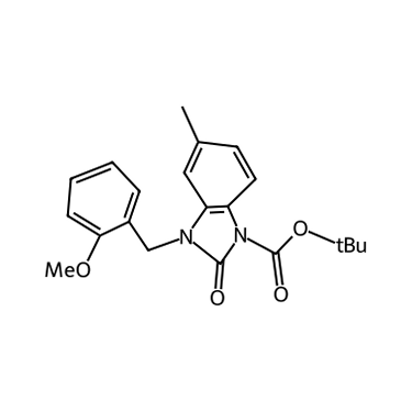 COc1ccccc1Cn1c(=O)n(C(=O)OC(C)(C)C)c2ccc(C)cc21